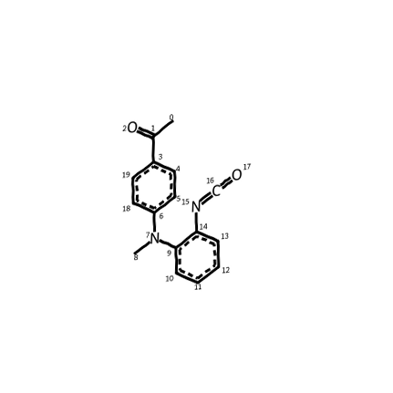 CC(=O)c1ccc(N(C)c2ccccc2N=C=O)cc1